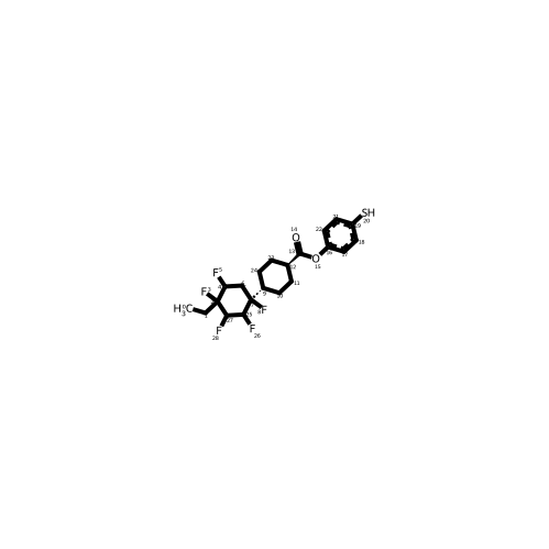 CCC1(F)C(F)[CH]C(F)([C@H]2CC[C@H](C(=O)Oc3ccc(S)cc3)CC2)C(F)C1F